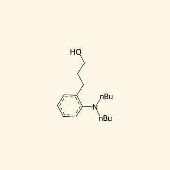 CCCCN(CCCC)c1ccccc1CCCO